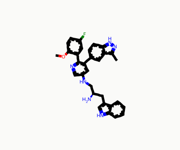 COc1ccc(F)cc1-c1ncc(NC[C@H](N)Cc2c[nH]c3ccccc23)cc1-c1ccc2[nH]nc(C)c2c1